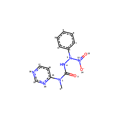 CN(C(=O)NN(c1ccccc1)[N+](=O)[O-])c1ccncn1